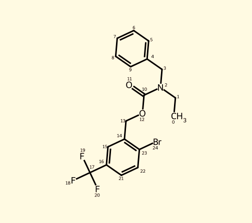 CCN(Cc1ccccc1)C(=O)OCc1cc(C(F)(F)F)ccc1Br